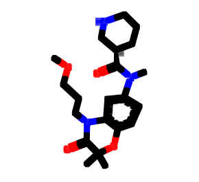 COCCCN1C(=O)C(C)(C)Oc2ccc(N(C)C(=O)[C@@H]3CCCNC3)cc21